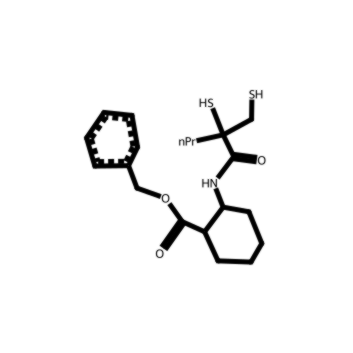 CCCC(S)(CS)C(=O)NC1CCCCC1C(=O)OCc1ccccc1